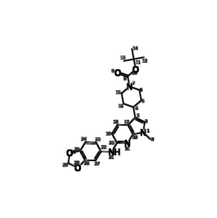 Cn1cc(C2CCN(C(=O)OC(C)(C)C)CC2)c2ccc(Nc3ccc4c(c3)OCO4)nc21